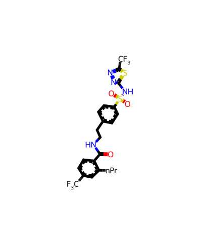 CCCc1cc(C(F)(F)F)ccc1C(=O)NCCc1ccc(S(=O)(=O)Nc2nnc(C(F)(F)F)s2)cc1